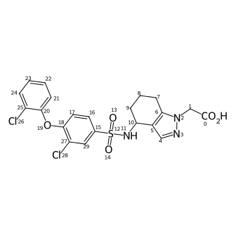 O=C(O)Cn1ncc2c1CCCC2NS(=O)(=O)c1ccc(Oc2ccccc2Cl)c(Cl)c1